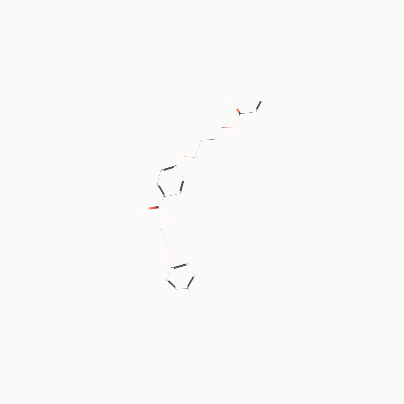 C=CC(=O)OCCCCOc1ccc(C(=O)OCCOc2ccc(C=O)cc2)cc1